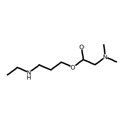 CCNCCCOC([O])CN(C)C